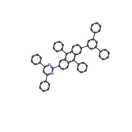 c1ccc(-c2cc(-c3ccccc3)cc(-c3ccc4c(-c5ccccc5)c5cc(-c6nc(-c7ccccc7)cc(-c7ccccc7)n6)ccc5c(-c5ccccc5)c4c3)c2)cc1